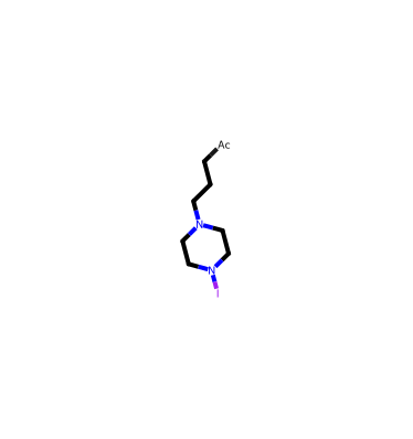 CC(=O)CCCN1CCN(I)CC1